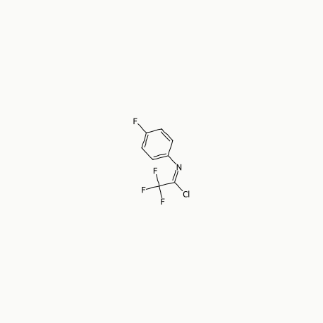 Fc1ccc(/N=C(/Cl)C(F)(F)F)cc1